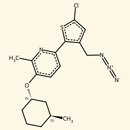 Cc1nc(-c2sc(Cl)cc2CN=[N+]=[N-])ccc1O[C@H]1CCC[C@H](C)C1